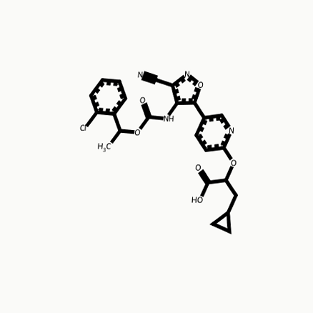 CC(OC(=O)Nc1c(C#N)noc1-c1ccc(OC(CC2CC2)C(=O)O)nc1)c1ccccc1Cl